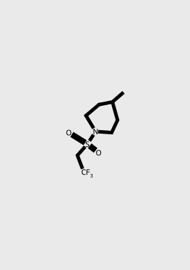 CC1CCN(S(=O)(=O)CC(F)(F)F)CC1